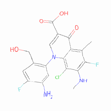 CNc1c(F)c(C)c2c(=O)c(C(=O)O)cn(-c3cc(N)c(F)cc3CO)c2c1Cl